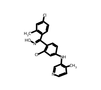 Cc1ccncc1Nc1ccc(C(=NO)c2ccc(Cl)cc2C)c(Cl)c1